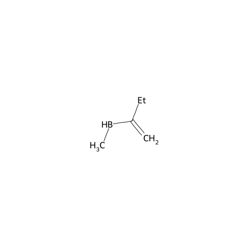 C=C(BC)CC